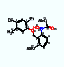 CCc1cc(CC)c(OCc2c(OC)cccc2N(O)C(=O)OC)cc1C